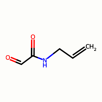 C=CCNC(=O)C=O